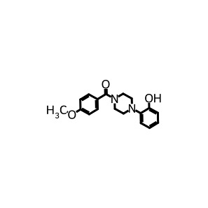 COc1ccc(C(=O)N2CCN(c3ccccc3O)CC2)cc1